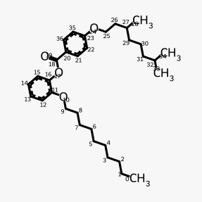 CCCCCCCCCCOc1ccccc1OC(=O)c1ccc(OCCC(C)CCCC(C)C)cc1